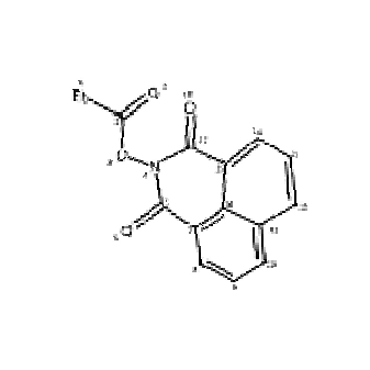 CCC(=O)ON1C(=O)c2cccc3cccc(c23)C1=O